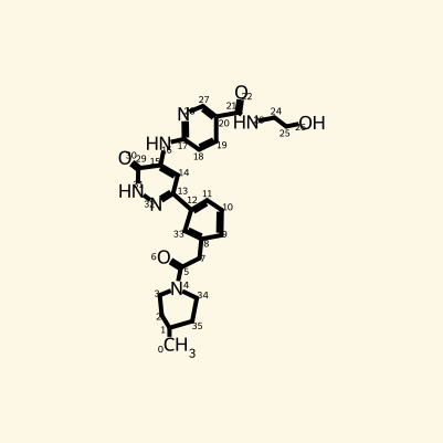 CC1CCN(C(=O)Cc2cccc(-c3cc(Nc4ccc(C(=O)NCCO)cn4)c(=O)[nH]n3)c2)CC1